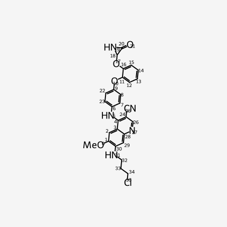 COc1cc2c(Nc3ccc(Oc4ccccc4OC4NC4=O)cc3)c(C#N)cnc2cc1NCCCCl